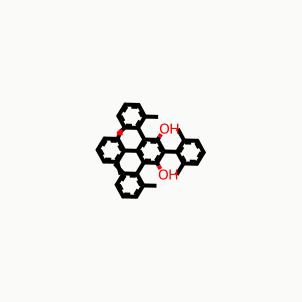 Cc1cccc(C)c1-c1c(O)c(-c2c(C)cccc2C)c(-c2c(C)cccc2C)c(-c2c(C)cccc2C)c1O